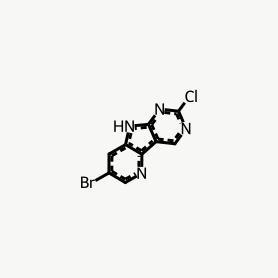 Clc1ncc2c(n1)[nH]c1cc(Br)cnc12